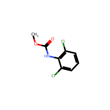 COC(=O)Nc1c(Cl)cccc1Cl